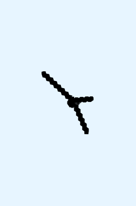 CCCCCCCCCCCCCCCn1cc[n+](CCCCCCCCCCCC)c1CCCCCCC